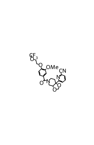 COc1cc(C(=O)N2CCC3(c4cccc(C#N)n4)OCOC3C2)ccc1OCCOC(F)(F)F